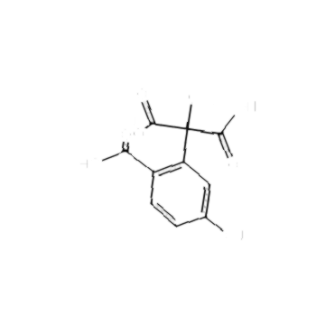 Cc1ccc(C(=O)O)c(C(C)(C(=O)O)C(=O)O)c1